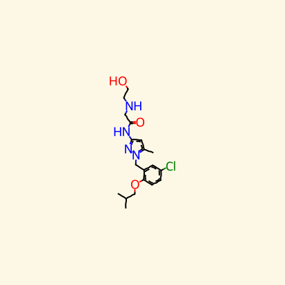 Cc1cc(NC(=O)CNCCO)nn1Cc1cc(Cl)ccc1OCC(C)C